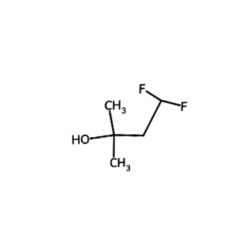 CC(C)(O)CC(F)F